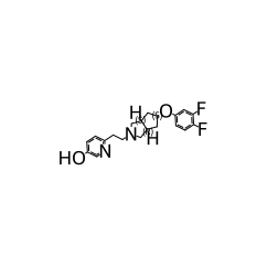 Oc1ccc(CCN2C[C@H]3C[C@H](Oc4ccc(F)c(F)c4)C[C@H]3C2)nc1